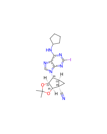 CC1(C)O[C@H]2[C@H](n3cnc4c(NC5CCCC5)nc(I)nc43)[C@H]3C[C@@]3(C#N)[C@H]2O1